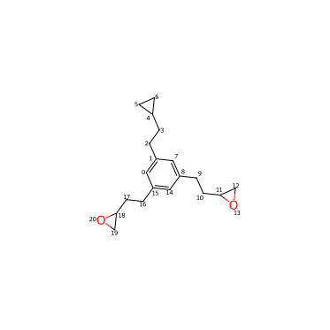 c1c(CCC2CC2)cc(CCC2CO2)cc1CCC1CO1